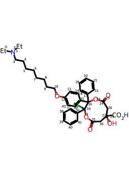 CCN(CC)CCCCCCCCOc1ccc(C2(c3ccccc3)OC(=O)CC(O)(C(=O)O)CC(=O)OC2(Cl)c2ccccc2)cc1